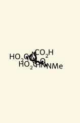 CNCCNC(=O)CCC(C(=O)O)N1CCN(CC(=O)O)CCN(CC(=O)O)CC1